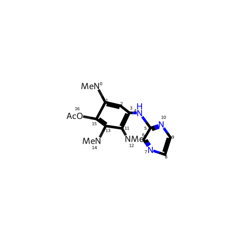 CNc1cc(Nc2cnccn2)c(NC)c(NC)c1OC(C)=O